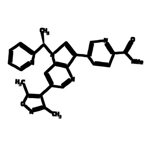 CNC(=O)c1ccc(-c2cn([C@@H](C)c3ccccn3)c3cc(-c4c(C)noc4C)cnc23)cn1